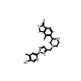 Cc1cc(-n2ncc(CN3CCNC(c4ccc5c(c4C)COC5=O)C3)n2)ncc1C#N